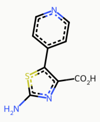 Nc1nc(C(=O)O)c(-c2ccncc2)s1